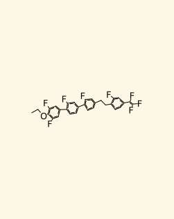 CCOc1c(F)cc(-c2ccc(-c3ccc(CCc4ccc(C(F)=C(F)F)cc4F)cc3F)cc2F)cc1F